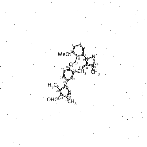 COc1cccc(-n2nnn(C)c2=O)c1COc1ccc(-n2nc(C)c(C=O)c2C)cc1C